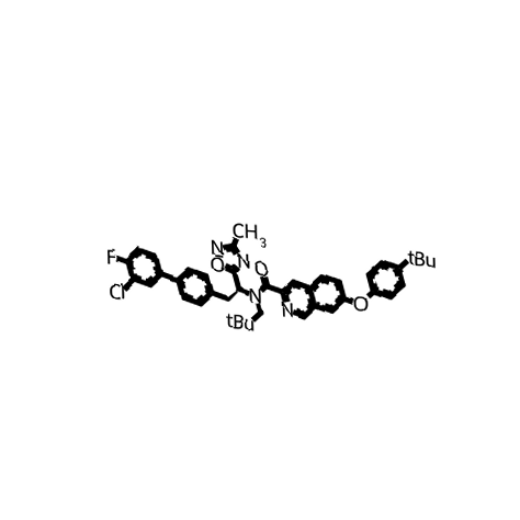 Cc1noc([C@H](Cc2ccc(-c3ccc(F)c(Cl)c3)cc2)N(CC(C)(C)C)C(=O)c2cc3ccc(Oc4ccc(C(C)(C)C)cc4)cc3cn2)n1